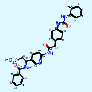 Cc1ccccc1NC(=O)Nc1ccc(CC(=O)Nc2ccc(C(CC(=O)O)NC(=O)c3ccccc3)cn2)cc1